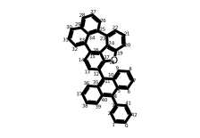 c1ccc(-c2c3ccccc3c(-c3ccc4c5c3oc3cccc(c35)-c3cccc5cccc-4c35)c3ccccc23)cc1